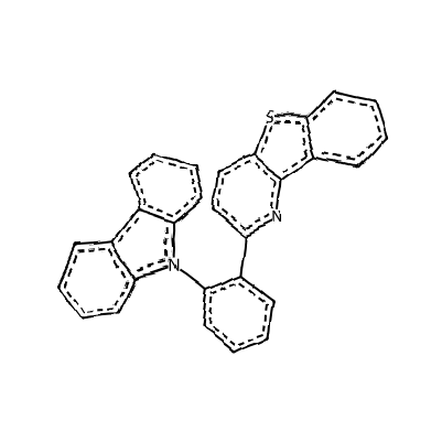 c1ccc(-n2c3ccccc3c3ccccc32)c(-c2ccc3sc4ccccc4c3n2)c1